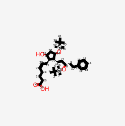 CC(C)(C)[Si](C)(C)O[C@@H](CCc1ccccc1)CC[C@@H]1[C@@H](C/C=C\CCCC(=O)O)[C@@H](O)C[C@H]1O[Si](C)(C)C(C)(C)C